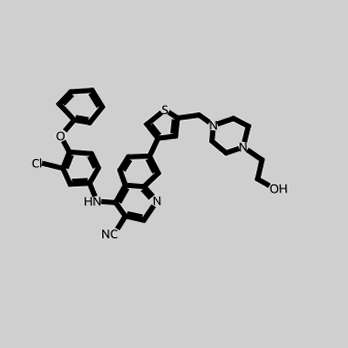 N#Cc1cnc2cc(-c3csc(CN4CCN(CCO)CC4)c3)ccc2c1Nc1ccc(Oc2ccccc2)c(Cl)c1